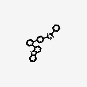 c1ccc(-c2nnc(-c3ccc(-c4ccccc4-c4cccc5c4sc4ccccc45)cc3)o2)cc1